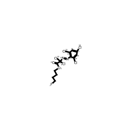 O=C(OCCCCF)C(Cl)(Cl)N=Nc1c(Cl)cc(Cl)cc1Cl